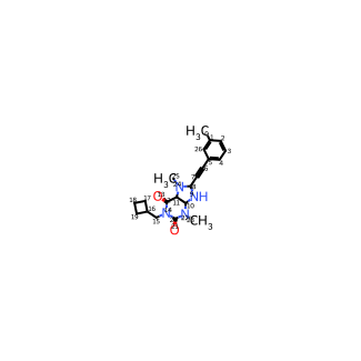 Cc1cccc(C#CC2NC3C(C(=O)N(CC4CCC4)C(=O)N3C)N2C)c1